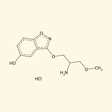 COCC(N)COc1noc2ccc(O)cc12.Cl